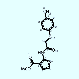 COC(=O)c1ccsc1NC(=O)CSc1ccc(C)cc1